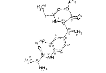 CCC(=O)N[C@@H](C(=O)OC)[C@@H](C)c1ccc(NC(=O)C(C)N)c(F)c1